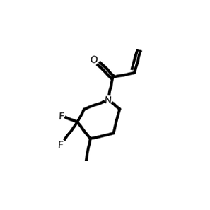 C=CC(=O)N1CCC(C)C(F)(F)C1